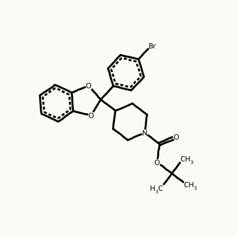 CC(C)(C)OC(=O)N1CCC(C2(c3ccc(Br)cc3)Oc3ccccc3O2)CC1